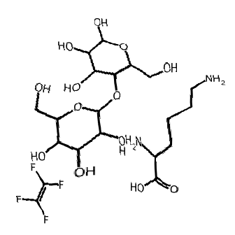 FC(F)=C(F)F.NCCCCC(N)C(=O)O.OCC1OC(OC2C(CO)OC(O)C(O)C2O)C(O)C(O)C1O